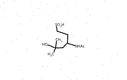 CC(=O)NC(CCS(=O)(=O)O)CC(C)(C)O